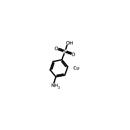 Nc1ccc(S(=O)(=O)O)cc1.[Cu]